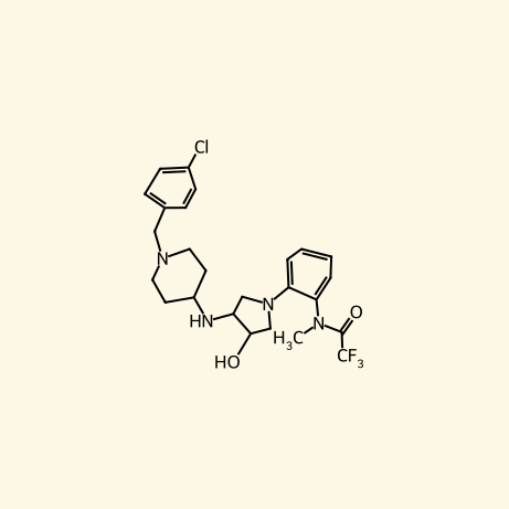 CN(C(=O)C(F)(F)F)c1ccccc1N1CC(O)C(NC2CCN(Cc3ccc(Cl)cc3)CC2)C1